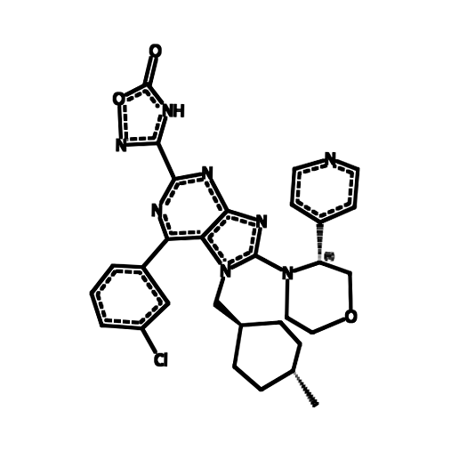 C[C@H]1CC[C@H](Cn2c(N3CCOC[C@H]3c3ccncc3)nc3nc(-c4noc(=O)[nH]4)nc(-c4cccc(Cl)c4)c32)CC1